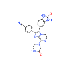 N#Cc1ccc(-c2nc3c(N4CCNC(=O)C4)nccn3c2-c2ccc3[nH]c(=O)[nH]c3c2)cc1